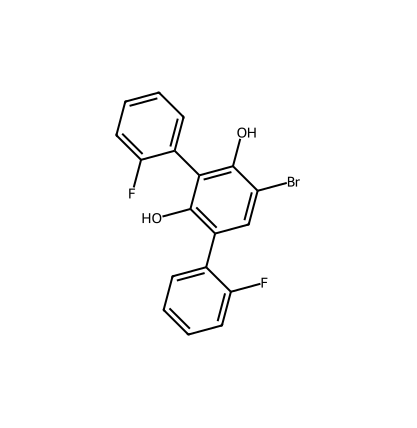 Oc1c(Br)cc(-c2ccccc2F)c(O)c1-c1ccccc1F